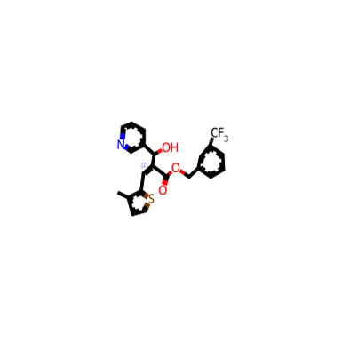 Cc1ccsc1/C=C(\C(=O)OCc1cccc(C(F)(F)F)c1)C(O)c1cccnc1